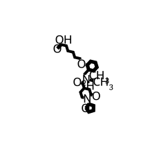 [2H]C(C)(C)N(Cc1ccccc1OCCCCCC(=O)O)C(=O)C1CCN(c2ccco2)C(=O)C1